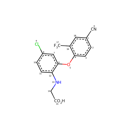 N#Cc1ccc(Oc2cc(Cl)ccc2NCC(=O)O)c(C(F)(F)F)c1